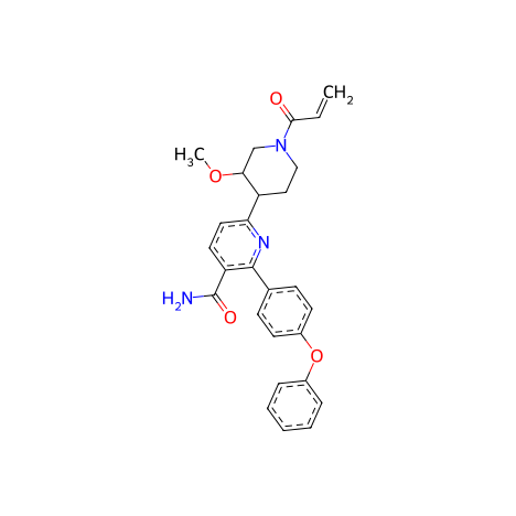 C=CC(=O)N1CCC(c2ccc(C(N)=O)c(-c3ccc(Oc4ccccc4)cc3)n2)C(OC)C1